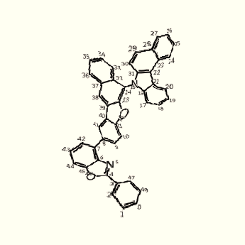 c1ccc(-c2nc3c(-c4ccc5oc6c(-n7c8ccccc8c8c9ccccc9ccc87)c7ccccc7cc6c5c4)cccc3o2)cc1